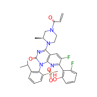 C=CC(=O)N1CCN(c2nc(=O)n(-c3c(C(C)C)cccc3S(C)(=O)=O)c3nc(-c4c(O)cccc4F)c(F)cc23)[C@@H](C)C1